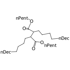 CCCCCCCCCCCCCCC(C(=O)OCCCCC)C(CCCCCCCCCCCCCC)C(=O)OCCCCC